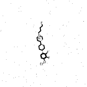 CCOc1ccc([C@H]2CC[C@H]([C@H]3CC[Si@H](CCCCF)CC3)CC2)c(F)c1F